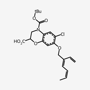 C=C/C(=C\C=C/C)COc1cc2c(cc1Cl)N(C(=O)OC(C)(C)C)CC(C(=O)O)O2